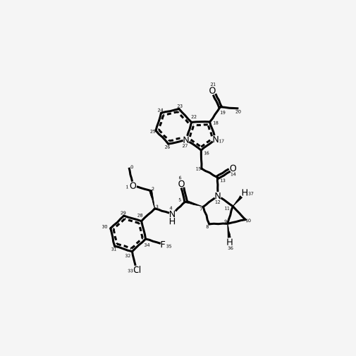 COC[C@@H](NC(=O)[C@@H]1C[C@H]2C[C@H]2N1C(=O)Cc1nc(C(C)=O)c2ccccn12)c1cccc(Cl)c1F